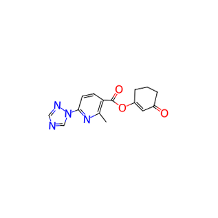 Cc1nc(-n2cncn2)ccc1C(=O)OC1=CC(=O)CCC1